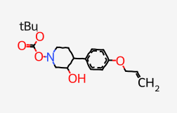 C=CCOc1ccc(C2CCN(OC(=O)OC(C)(C)C)CC2O)cc1